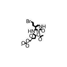 COC(=O)OC[C@@H]1C[C@@H](OC(C)=O)[C@H](Nc2nc(=O)[nH]cc2C=CBr)O1